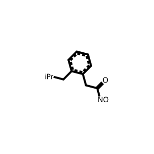 CC(C)Cc1ccccc1CC(=O)N=O